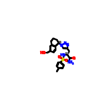 Cc1ccc(S(=O)(=O)N[C@H](Cc2cn([C@@H]3CCCc4cc(CO)ccc43)nn2)C(N)=O)cc1